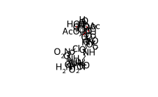 CC(=O)O[C@H]1C(=O)[C@@]2(C)[C@H]([C@H](OC(=O)c3ccccc3)[C@]3(O)C[C@H](OC(=O)[C@H](OC(=O)CCC(=O)NCCCCC(NC(=O)CC[C@H](NC(=O)C(C)NC(=O)c4ccc(Cl)cc4[N+](=O)[O-])C(N)=O)C(N)=O)[C@@H](NC(=O)c4ccccc4)c4ccccc4)C(C)=C1C3(C)C)[C@]1(OC(C)=O)CO[C@@H]1C[C@@H]2O